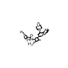 Cc1cc(P)c(NC(=O)[C@H]2CCN(C(C)C)C2)cc1-c1cc(N2CCOCC2)c2nccn2c1